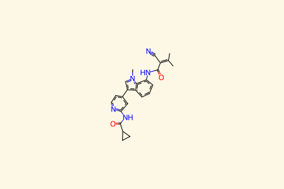 CC(C)=C(C#N)C(=O)Nc1cccc2c(-c3ccnc(NC(=O)C4CC4)c3)cn(C)c12